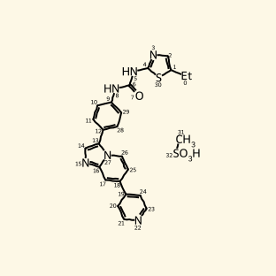 CCc1cnc(NC(=O)Nc2ccc(-c3cnc4cc(-c5ccncc5)ccn34)cc2)s1.CS(=O)(=O)O